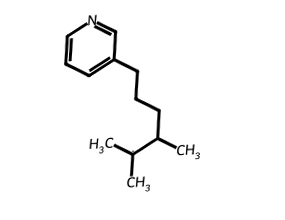 C[C](C)C(C)CCCc1cccnc1